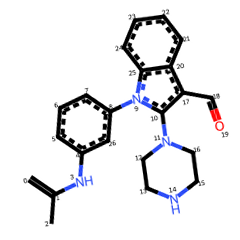 C=C(C)Nc1cccc(-n2c(N3CCNCC3)c(C=O)c3ccccc32)c1